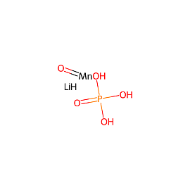 O=P(O)(O)O.[LiH].[O]=[Mn]